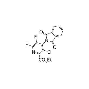 CCOC(=O)c1nc(F)c(F)c(N2C(=O)c3ccccc3C2=O)c1Cl